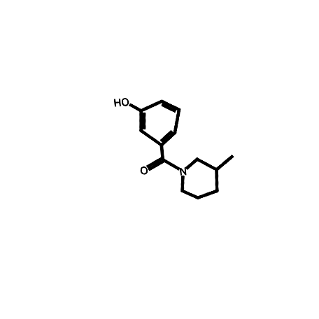 CC1CCCN(C(=O)c2cccc(O)c2)C1